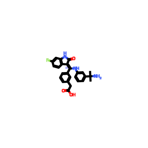 CC(C)(N)c1cccc(N/C(=C2\C(=O)Nc3cc(F)ccc32)c2cccc(CC(=O)O)c2)c1